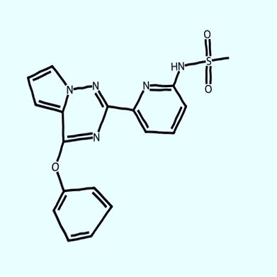 CS(=O)(=O)Nc1cccc(-c2nc(Oc3ccccc3)c3cccn3n2)n1